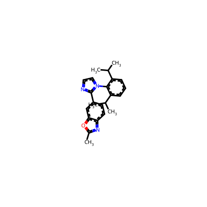 Cc1nc2ccc(-c3nccn3-c3c(C(C)C)cccc3C(C)C)cc2o1